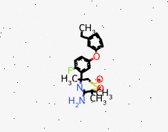 CCc1cccc(Oc2ccc(F)c(C3(C)CS(=O)(=O)C(C)(C)C(N)=N3)c2)c1